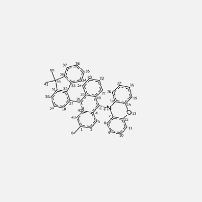 Cc1ccc2c(N3c4ccccc4Oc4ccccc43)c3ccccc3c(-c3cccc4c3-c3ccccc3C4(C)C)c2c1